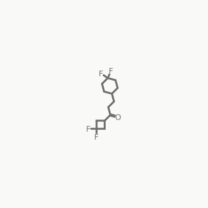 O=C(CCC1CCC(F)(F)CC1)C1CC(F)(F)C1